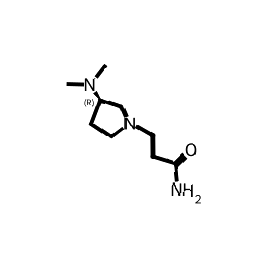 CN(C)[C@@H]1CCN(CCC(N)=O)C1